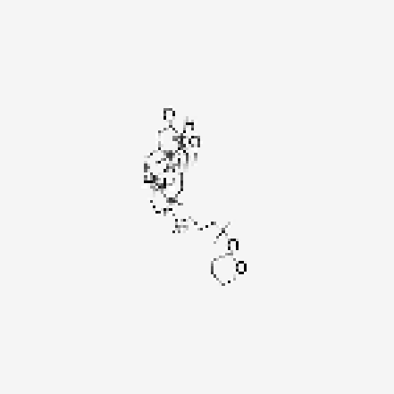 C[C@H](CCCC(C)(C)OC1CCCCO1)[C@H]1CC[C@H]2[C@@H]3C=CC4=CC(=O)[C@@H]5O[C@@H]5[C@]4(C)[C@H]3CC[C@]12C